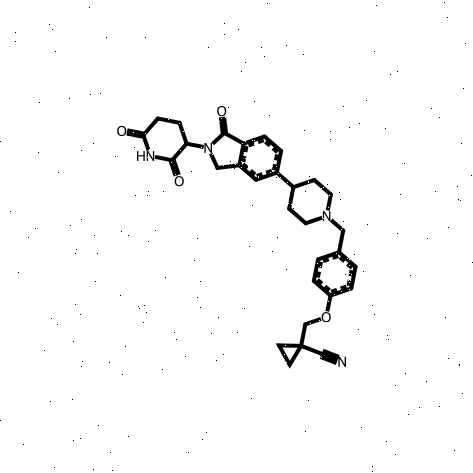 N#CC1(COc2ccc(CN3CCC(c4ccc5c(c4)CN(C4CCC(=O)NC4=O)C5=O)CC3)cc2)CC1